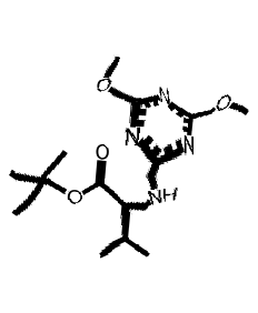 COc1nc(NC(C(=O)OC(C)(C)C)C(C)C)nc(OC)n1